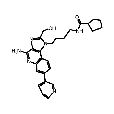 Nc1nc2cc(-c3cccnc3)ccc2c2c1nc(CO)n2CCCCNC(=O)C1CCCC1